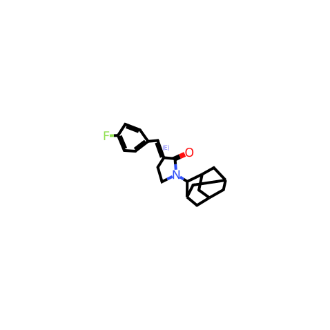 O=C1/C(=C/c2ccc(F)cc2)CCN1C1C2CC3CC(C2)CC1C3